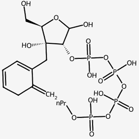 C=C1CC=CC=C1C[C@@]1(O)[C@@H](CO)OC(O)[C@@H]1OP(=O)(O)OP(=O)(O)OP(=O)(O)OP(=O)(O)OCCC